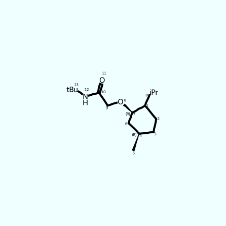 CC(C)C1CC[C@@H](C)C[C@H]1OCC(=O)NC(C)(C)C